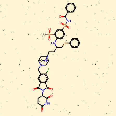 O=C1CCC(N2C(=O)c3cc(F)c(CN4CC5CCC4CN5CC[C@H](CSc4ccccc4)Nc4ccc(S(=O)(=O)NC(=O)c5ccccc5)cc4S(=O)(=O)C(F)(F)F)cc3C2=O)C(=O)N1